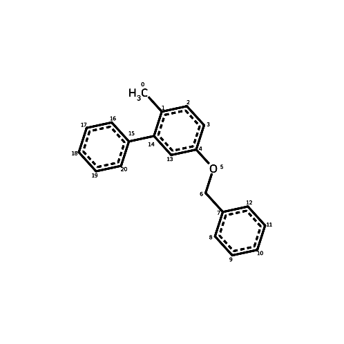 Cc1ccc(OCc2ccccc2)cc1-c1ccccc1